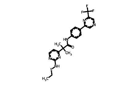 CCSNc1nccc(C(C)(C)C(=O)Nc2ccc(-c3cncc(C(F)(F)F)n3)cc2)n1